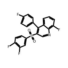 O=S(=O)(c1ccc(F)c(F)c1)c1cnc2c(F)cccc2c1-c1ccc(F)cc1